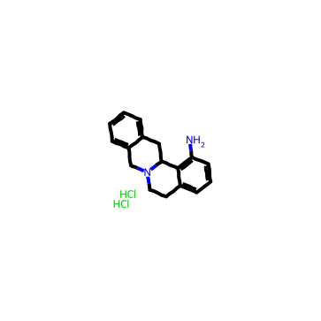 Cl.Cl.Nc1cccc2c1C1Cc3ccccc3CN1CC2